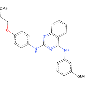 COCCOc1ccc(Nc2nc(Nc3cccc(OC)c3)c3ccccc3n2)cc1